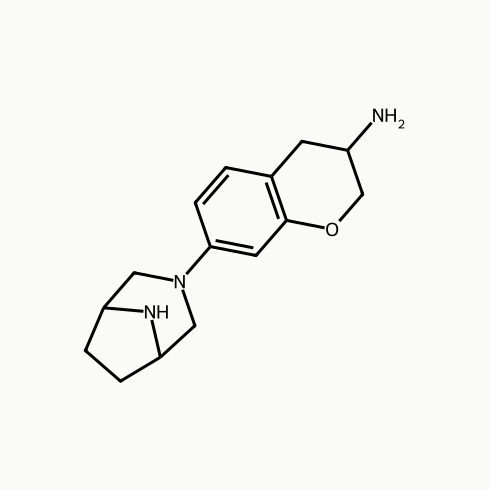 NC1COc2cc(N3CC4CCC(C3)N4)ccc2C1